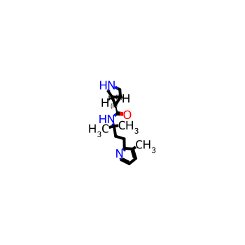 Cc1cccnc1CCC(C)(C)NC(=O)[C@H]1[C@@H]2CNC[C@@H]21